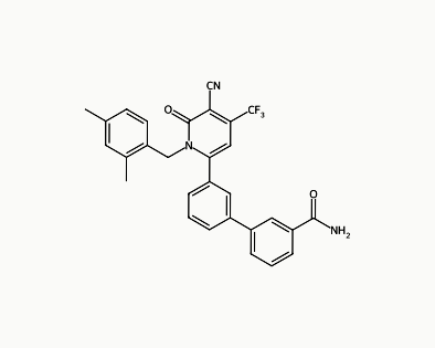 Cc1ccc(Cn2c(-c3cccc(-c4cccc(C(N)=O)c4)c3)cc(C(F)(F)F)c(C#N)c2=O)c(C)c1